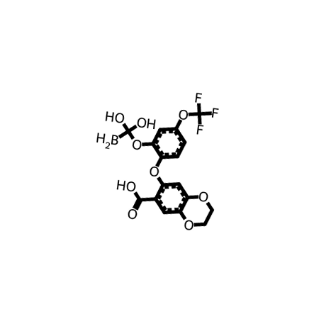 BC(O)(O)Oc1cc(OC(F)(F)F)ccc1Oc1cc2c(cc1C(=O)O)OCCO2